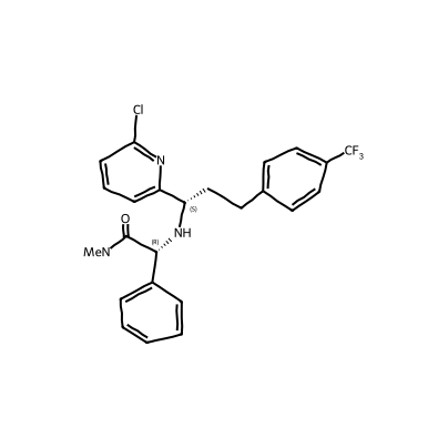 CNC(=O)[C@H](N[C@@H](CCc1ccc(C(F)(F)F)cc1)c1cccc(Cl)n1)c1ccccc1